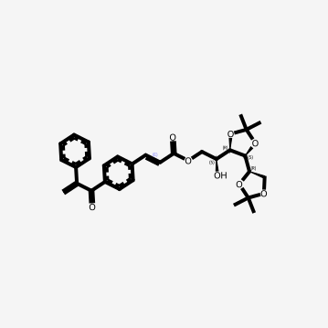 C=C(C(=O)c1ccc(/C=C/C(=O)OC[C@H](O)[C@H]2OC(C)(C)O[C@H]2[C@H]2COC(C)(C)O2)cc1)c1ccccc1